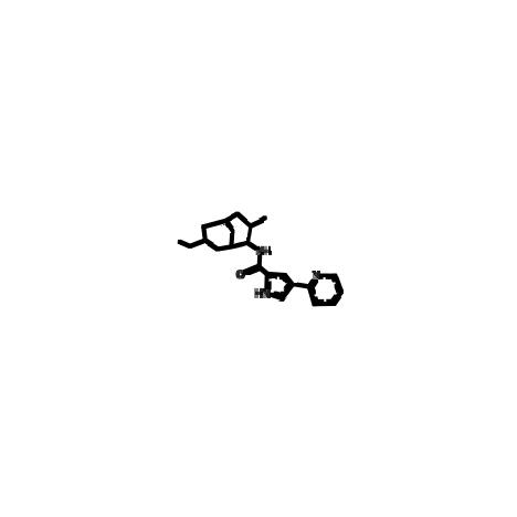 CCC1CC2CC(C)C(NC(=O)c3cc(-c4ccccn4)c[nH]3)C(C1)C2